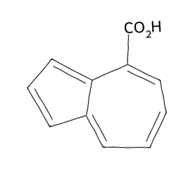 O=C(O)c1ccccc2cccc1-2